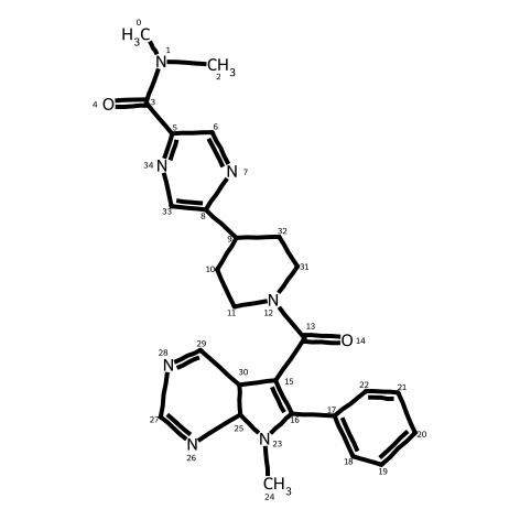 CN(C)C(=O)c1cnc(C2CCN(C(=O)C3=C(c4ccccc4)N(C)C4N=CN=CC34)CC2)cn1